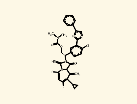 C=C1C(C2CC2)=C(F)C=C(F)N2C(=N)N([C@H](COC(=O)N(C)C)c3ccc(Cl)c(-c4nc(-c5ccccc5)cs4)c3)C(=O)C12